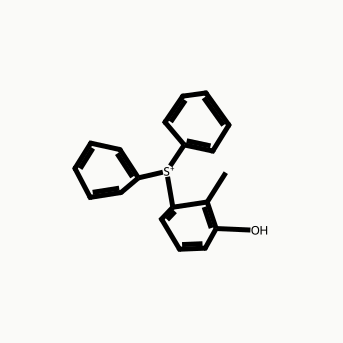 Cc1c(O)cccc1[S+](c1ccccc1)c1ccccc1